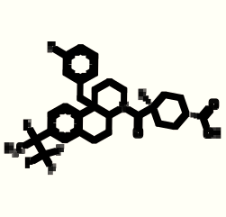 CC(F)(c1ccc2c(c1)CCC1N(C(=O)[C@]3(F)CC[C@@H](C(=O)O)CC3)CCCC21Cc1cccc(F)c1)C(F)(F)F